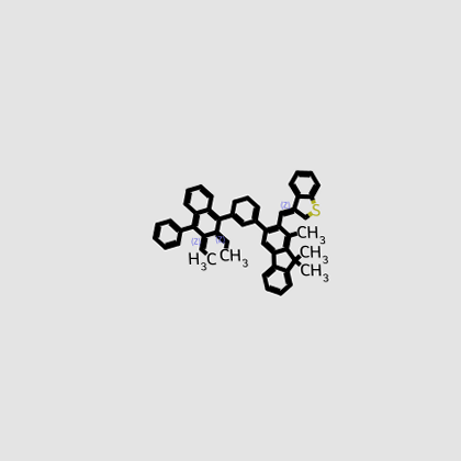 C/C=c1/c(C2=CC(c3cc4c(c(C)c3/C=C3\CSc5ccccc53)C(C)(C)c3ccccc3-4)=CCC2)c2ccccc2c(-c2ccccc2)/c1=C/C